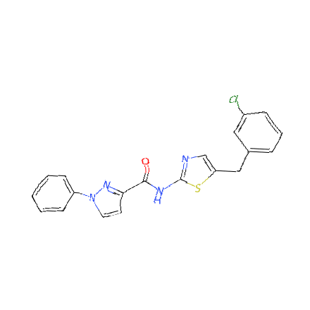 O=C(Nc1ncc(Cc2cccc(Cl)c2)s1)c1ccn(-c2ccccc2)n1